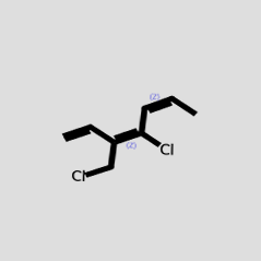 C=C/C(CCl)=C(Cl)\C=C/C